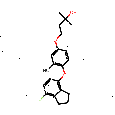 CC(C)(O)CCOc1ccc(Oc2ccc(F)c3c2CCC3)c(C#N)c1